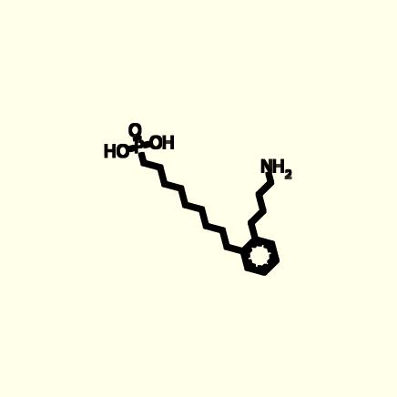 NCCCCc1ccccc1CCCCCCCCCP(=O)(O)O